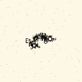 CCc1nc2c(C)cc(C)nc2n1-c1ccc(CC(C)NC(=O)NS(=O)(=O)c2ccc(C)cc2)cc1